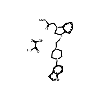 CNC(=O)CN1C[C@@H](CCN2CCN(c3ccc4[nH]ccc4c3)CC2)c2ccccc21.O=C(O)C(=O)O